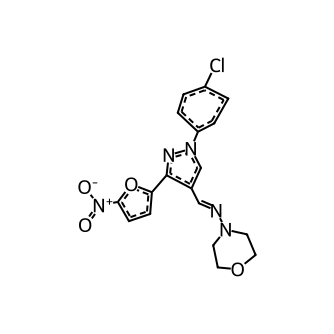 O=[N+]([O-])c1ccc(-c2nn(-c3ccc(Cl)cc3)cc2C=NN2CCOCC2)o1